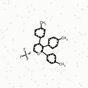 Cc1ccc(-c2cc[o+]c(-c3ccc(C)cc3)c2-c2ccc(C)cc2)cc1.F[B-](F)(F)F